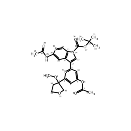 COC1(c2cc(OC(C)=O)cc(-c3cn(C(=O)OC(C)(C)C)c4cnc(NC(C)=O)cc34)n2)CCOC1